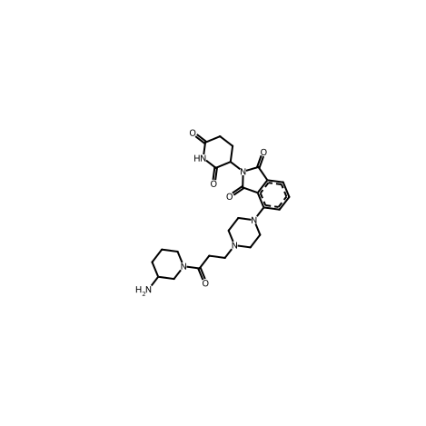 NC1CCCN(C(=O)CCN2CCN(c3cccc4c3C(=O)N(C3CCC(=O)NC3=O)C4=O)CC2)C1